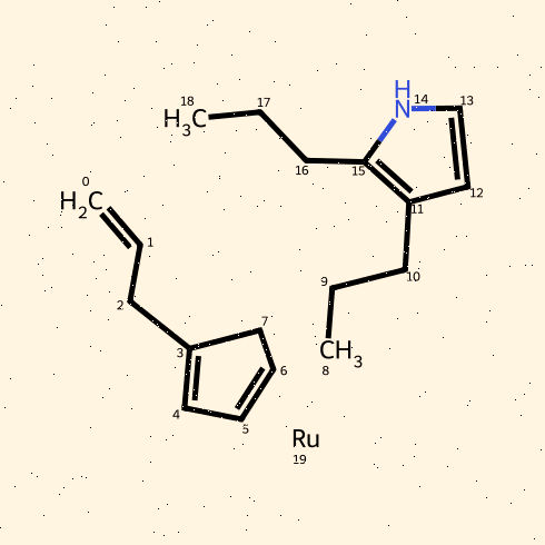 C=CCC1=CC=CC1.CCCc1cc[nH]c1CCC.[Ru]